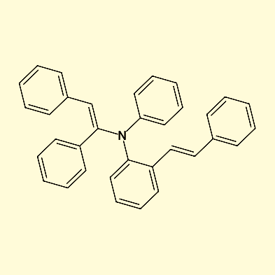 C(=Cc1ccccc1N(C(=Cc1ccccc1)c1ccccc1)c1ccccc1)c1ccccc1